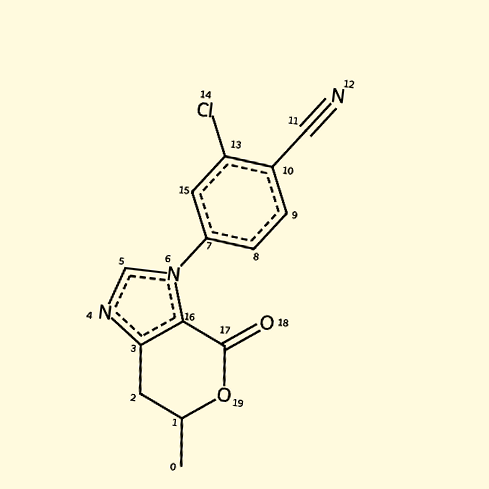 CC1Cc2ncn(-c3ccc(C#N)c(Cl)c3)c2C(=O)O1